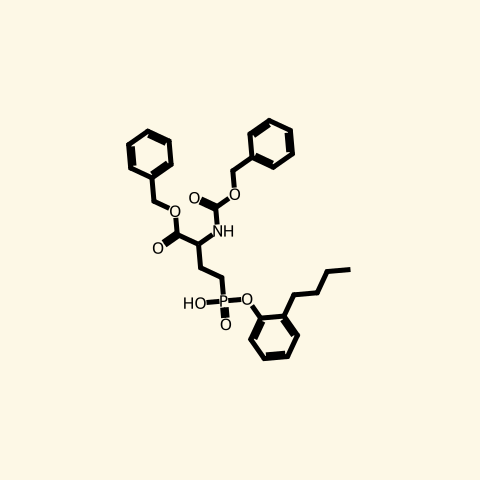 CCCCc1ccccc1OP(=O)(O)CCC(NC(=O)OCc1ccccc1)C(=O)OCc1ccccc1